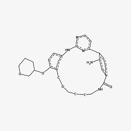 Nc1cc2ccc1-c1ccnc(n1)Nc1ccc(OC3CCCOC3)c(c1)COCCCCNC2=O